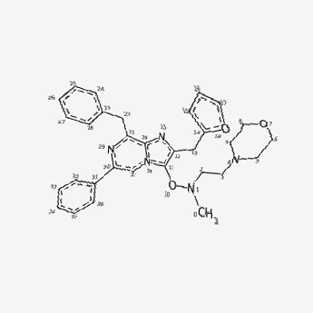 CN(CCN1CCOCC1)Oc1c(Cc2ccco2)nc2c(Cc3ccccc3)nc(-c3ccccc3)cn12